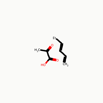 C=CC=CCC.CC(=O)C(=O)O